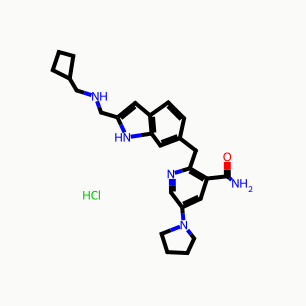 Cl.NC(=O)c1cc(N2CCCC2)cnc1Cc1ccc2cc(CNCC3CCC3)[nH]c2c1